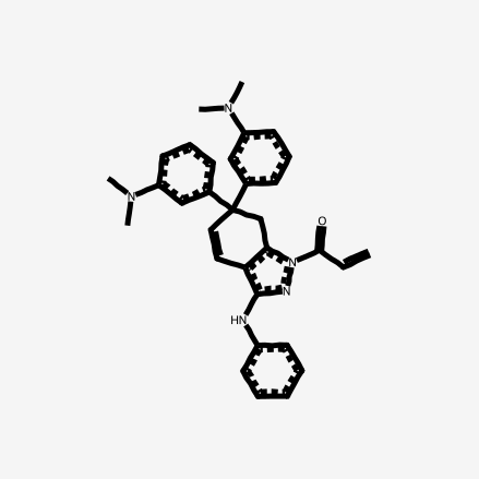 C=CC(=O)n1nc(Nc2ccccc2)c2c1CC(c1cccc(N(C)C)c1)(c1cccc(N(C)C)c1)C=C2